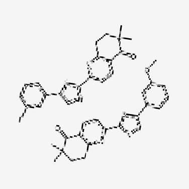 CC1(C)CCc2nc(-c3ncc(-c4cccc(F)c4)s3)ccc2C1=O.COc1cccc(-c2cnc(-c3ccc4c(n3)CCC(C)(C)C4=O)s2)c1